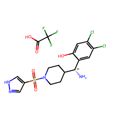 N[C@@H](c1cc(Cl)c(Cl)cc1O)C1CCN(S(=O)(=O)c2cn[nH]c2)CC1.O=C(O)C(F)(F)F